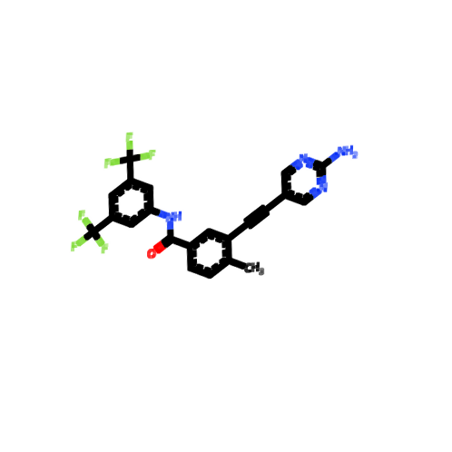 Cc1ccc(C(=O)Nc2cc(C(F)(F)F)cc(C(F)(F)F)c2)cc1C#Cc1cnc(N)nc1